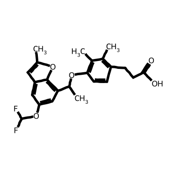 Cc1cc2cc(OC(F)F)cc(C(C)Oc3ccc(CCC(=O)O)c(C)c3C)c2o1